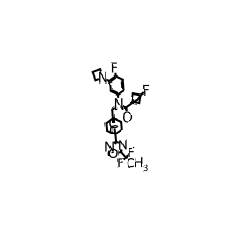 CC(F)(F)c1nc(C23CCC(CN(C(=O)C45CC(F)(C4)C5)c4ccc(F)c(N5CCC5)c4)(CC2)CC3)no1